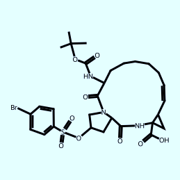 CC(C)(C)OC(=O)NC1CCCCCC=CC2CC2(C(=O)O)NC(=O)C2CC(OS(=O)(=O)c3ccc(Br)cc3)CN2C1=O